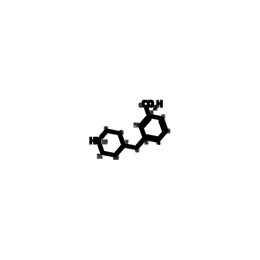 O=C(O)c1cccc(CC2CCNCC2)c1